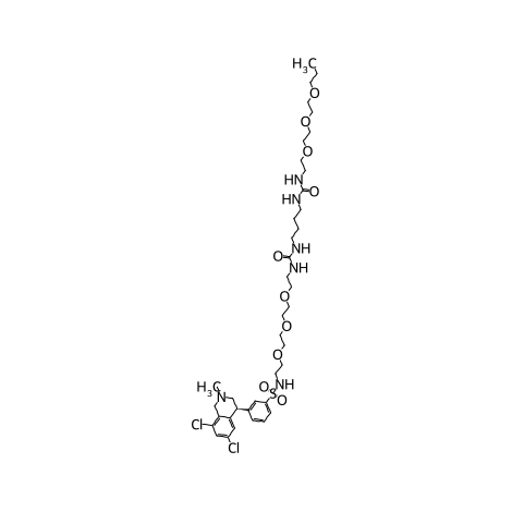 CCCOCCOCCOCCNC(=O)NCCCCNC(=O)NCCOCCOCCOCCNS(=O)(=O)c1cccc([C@@H]2CN(C)Cc3c(Cl)cc(Cl)cc32)c1